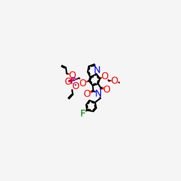 C=CCOP(=O)(COc1c2c(c(OCOC)c3ncccc13)C(=O)N(Cc1ccc(F)cc1)C2=O)OCC=C